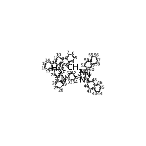 CC1(C)c2ccccc2-c2ccc(-c3ccccc3-c3ccc4c(c3)c3ccccc3n4-c3ccc(-c4nc(-c5ccc6ccccc6c5)nc(-c5ccc6ccccc6c5)n4)cc3)cc21